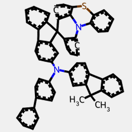 CC1(C)c2ccccc2-c2ccc(N(c3ccc(-c4ccccc4)cc3)c3ccc4c(c3)C3(c5ccccc5-4)c4ccccc4N4c5ccccc5Sc5cccc3c54)cc21